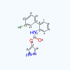 O=C(Nc1ccccc1-c1cccc(F)c1)Oc1cn[nH]c1